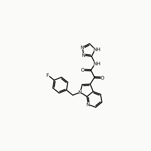 O=C(Nc1nnc[nH]1)C(=O)c1cn(Cc2ccc(F)cc2)c2ncccc12